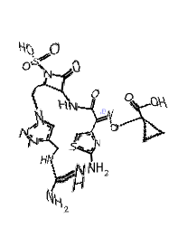 N=C(N)NCc1cn(CC2C(NC(=O)/C(=N/OC3(C(=O)O)CC3)c3csc(N)n3)C(=O)N2S(=O)(=O)O)nn1